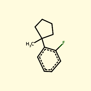 CC1(c2ccccc2F)CCCC1